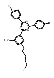 CCCCCCc1cc(C)cc(-c2nc(-c3ccc(Br)cc3)nc(-c3ccc(Br)cc3)n2)c1